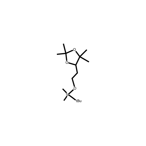 CC1(C)OC(CCO[Si](C)(C)C(C)(C)C)C(C)(C)O1